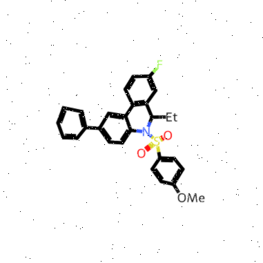 CCC1c2cc(F)ccc2-c2cc(-c3ccccc3)ccc2N1S(=O)(=O)c1ccc(OC)cc1